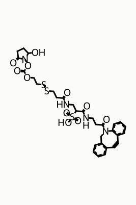 O=C(CCSSCCOC(=O)ON1C(=O)CCC1O)NCC(C(=O)NCCC(=O)N1Cc2ccccc2C#Cc2ccccc21)S(=O)(=O)O